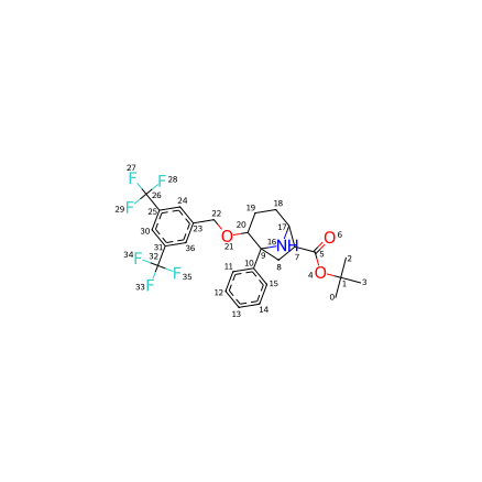 CC(C)(C)OC(=O)C1CC2(c3ccccc3)NC1CCC2OCc1cc(C(F)(F)F)cc(C(F)(F)F)c1